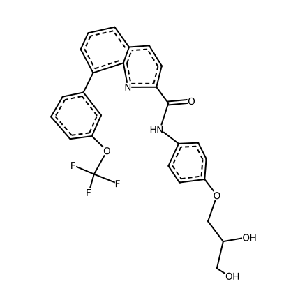 O=C(Nc1ccc(OCC(O)CO)cc1)c1ccc2cccc(-c3cccc(OC(F)(F)F)c3)c2n1